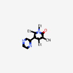 CCc1c(-c2cnccn2)c(CC)n(CC)c(=O)c1C#N